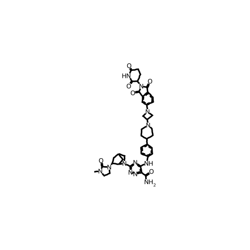 CN1CCN(C2CC3CC2N(c2nnc(C(N)=O)c(Nc4ccc(C5CCN(C6CN(c7ccc8c(c7)C(=O)N(C7CCC(=O)NC7=O)C8=O)C6)CC5)cc4)n2)C3)C1=O